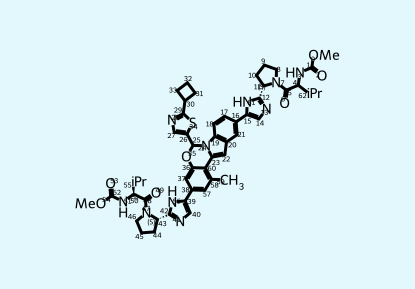 COC(=O)NC(C(=O)N1CCC[C@H]1c1ncc(-c2ccc3c(c2)cc2n3C(c3cnc(C4CCC4)s3)Oc3cc(-c4cnc([C@@H]5CCCN5C(=O)[C@@H](NC(=O)OC)C(C)C)[nH]4)cc(C)c3-2)[nH]1)C(C)C